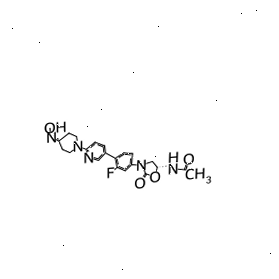 CC(=O)NC[C@H]1CN(c2ccc(-c3ccc(N4CCC(=NO)CC4)nc3)c(F)c2)C(=O)O1